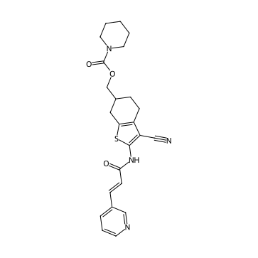 N#Cc1c(NC(=O)C=Cc2cccnc2)sc2c1CCC(COC(=O)N1CCCCC1)C2